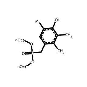 CCCCCCCCOP(=O)(Cc1cc(C(C)C)c(O)c(C)c1C)OCCCCCCCC